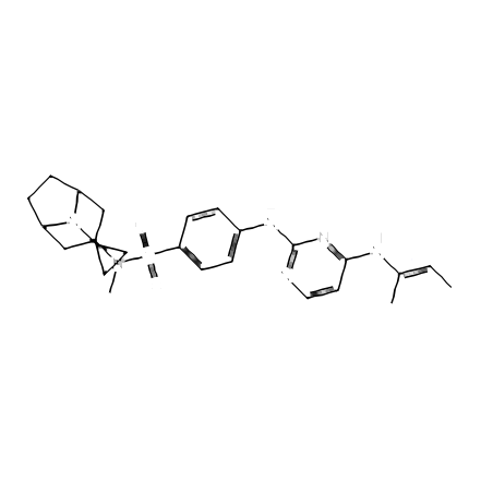 C/C=C(\C)Nc1ccnc(Nc2ccc(S(=O)(=O)N(C)C3CC4CCC(C3)N4C3CC3)cc2)n1